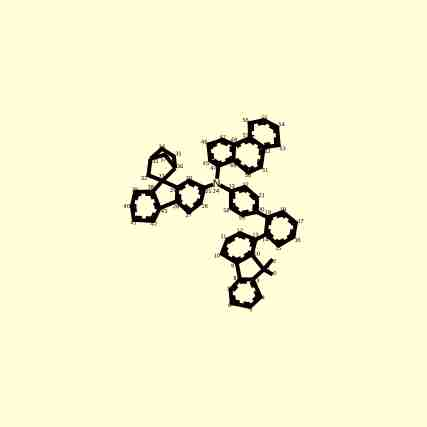 CC1(C)c2ccccc2-c2cccc(-c3ccccc3-c3ccc(N(c4ccc5c(c4)C4(CC6CCC4C6)c4ccccc4-5)c4cccc5c4ccc4ccccc45)cc3)c21